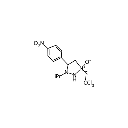 CC(C)N1N[N+]([O-])(SC(Cl)(Cl)Cl)CC1c1ccc([N+](=O)[O-])cc1